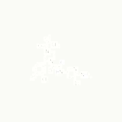 CCc1cc(NC(=O)C(=O)N2CCN(C(=O)C3(C(F)(F)F)CC3)C[C@H]2c2ccc(F)c(Cl)c2)cnc1N